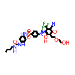 CCCCNC(=O)Nc1ccc(NS(=O)(=O)c2ccc(/N=N/C3=C(O)C(CCOCCO)C(=O)C(C#N)=C3C(F)(F)F)cc2)cc1